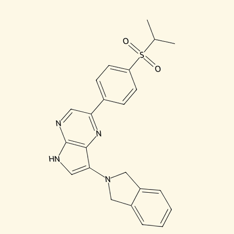 CC(C)S(=O)(=O)c1ccc(-c2cnc3[nH]cc(N4Cc5ccccc5C4)c3n2)cc1